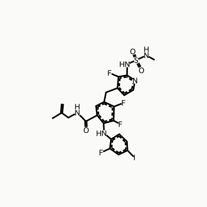 C=C(C)CNC(=O)c1cc(Cc2ccnc(NS(=O)(=O)NC)c2F)c(F)c(F)c1Nc1ccc(I)cc1F